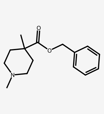 CN1CCC(C)(C(=O)OCc2ccccc2)CC1